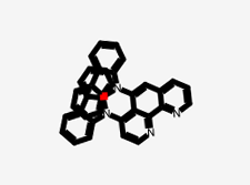 c1cnc2c(c1)cc(-n1c3ccccc3c3ccccc31)c1c(-n3c4ccccc4c4ccccc43)ccnc12